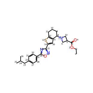 CCOC(=O)C1CN(C2CCCc3sc(-c4noc(-c5ccc(CC(C)C)cc5)n4)cc32)C1